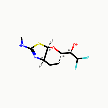 CNC1=N[C@@H]2CC[C@@H]([C@@H](O)C(F)F)O[C@@H]2S1